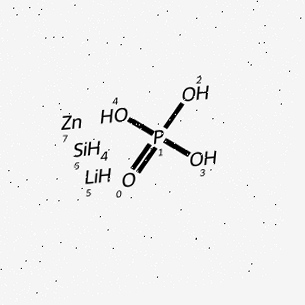 O=P(O)(O)O.[LiH].[SiH4].[Zn]